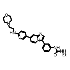 CCNC(=O)Nc1cccc(-c2cnc3cc(-c4ccc(NCCN5CCOCC5)nc4)ccn23)c1